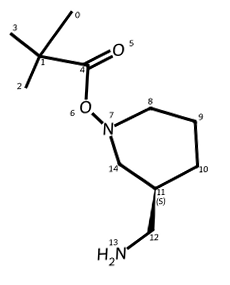 CC(C)(C)C(=O)ON1CCC[C@@H](CN)C1